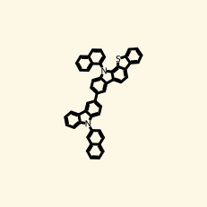 c1ccc2cc(-n3c4ccccc4c4cc(-c5ccc6c(c5)c5ccc7c8ccccc8sc7c5n6-c5cccc6ccccc56)ccc43)ccc2c1